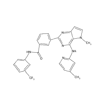 Cc1ccnc(Nc2nc(-c3cccc(C(=O)Nc4cccc(C(F)(F)F)c4)c3)nc3ccn(C)c23)c1